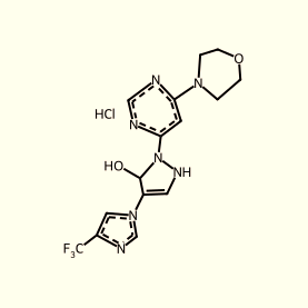 Cl.OC1C(n2cnc(C(F)(F)F)c2)=CNN1c1cc(N2CCOCC2)ncn1